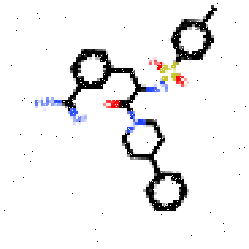 Cc1ccc(S(=O)(=O)NC(Cc2cccc(C(=N)N)c2)C(=O)N2CCC(c3ccccc3)CC2)cc1